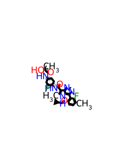 Cc1ccc(OCC2CC2)c(-c2ncnc3c(C(=O)N[C@H]4CC[C@@H](NC(=O)[C@H](C)O)C[C@H]4F)c(C)[nH]c23)c1F